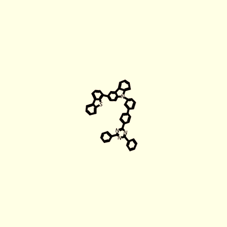 c1ccc(-c2nc(-c3ccccc3)nc(-c3ccc(-c4cccc(-n5c6ccccc6c6cc(-c7cccc8c7sc7ccccc78)ccc65)c4)cc3)n2)cc1